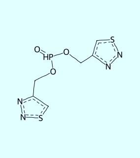 O=[PH](OCc1csnn1)OCc1csnn1